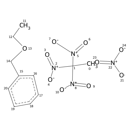 CC([N+](=O)[O-])([N+](=O)[O-])[N+](=O)[O-].CCOCc1ccccc1.[O][N+](=O)[O-]